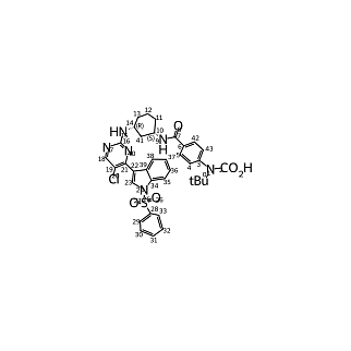 CC(C)(C)N(C(=O)O)c1ccc(C(=O)N[C@H]2CCC[C@@H](Nc3ncc(Cl)c(-c4cn(S(=O)(=O)c5ccccc5)c5ccccc45)n3)C2)cc1